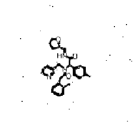 Cc1ccc(C(C(=O)NCC2CCCO2)N(Cc2cccnc2)C(=O)Cc2ccccc2C)cc1